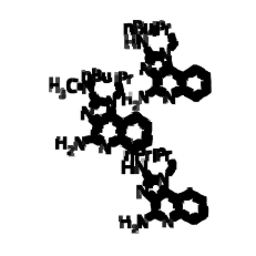 CCCCN(C)c1nc2c(N)nc3ccccc3c2n1CC(C)C.CCCCNc1nc2c(N)nc3ccccc3c2n1CC(C)C.CCCNc1nc2c(N)nc3ccccc3c2n1CC(C)C